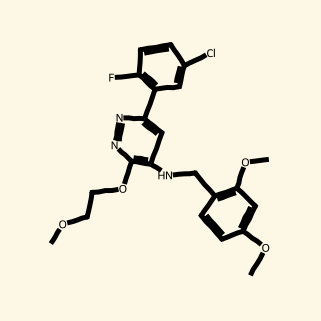 COCCOc1nnc(-c2cc(Cl)ccc2F)cc1NCc1ccc(OC)cc1OC